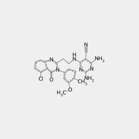 COc1cc(-n2c(CCNc3nc(N)nc(N)c3C#N)nc3cccc(Cl)c3c2=O)ccc1C